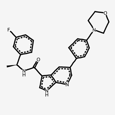 C[C@H](NC(=O)c1c[nH]c2ncc(-c3ccc(N4CCOCC4)cc3)cc12)c1cccc(F)c1